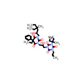 C=CCn1c(=O)n(CC(O)CN2C(=O)N(CC(O)CC(C)(CC)CC)C(=O)C(CC)(c3ccccc3)C2=O)c(=O)n(C(C)(CC)CC)c1=O